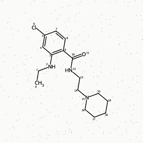 CCNc1cc(Cl)ccc1C(=O)NCCN1CCCCC1